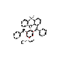 C=CCCl.CC1(C)c2cccc(P(c3ccccc3)c3ccccc3)c2Oc2c(P(c3ccccc3)c3ccccc3)cccc21